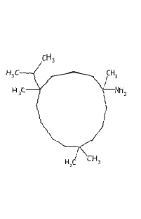 CC(C)C1(C)CCCCC(C)(C)CCCC(C)(N)CCC1